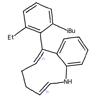 CCc1cccc(C(C)CC)c1/C1=C\CC/C=C/Nc2ccccc21